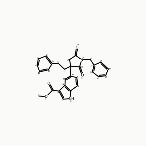 COC(=O)c1c[nH]c2ccc(C3(CCc4ccccc4)CC(=O)N(Cc4ccccc4)C3=O)cc12